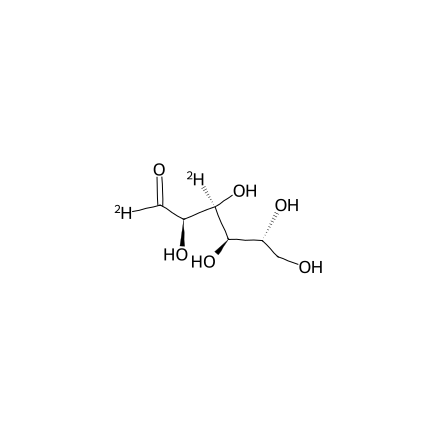 [2H]C(=O)[C@H](O)[C@@]([2H])(O)[C@H](O)[C@H](O)CO